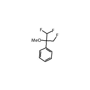 COC(CF)(c1ccccc1)C(F)F